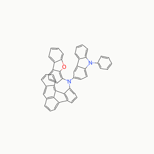 c1ccc(-n2c3ccccc3c3cc(N(c4cccc5c4-c4c6ccccc6cc6cccc-5c46)c4cccc5c4oc4ccccc45)ccc32)cc1